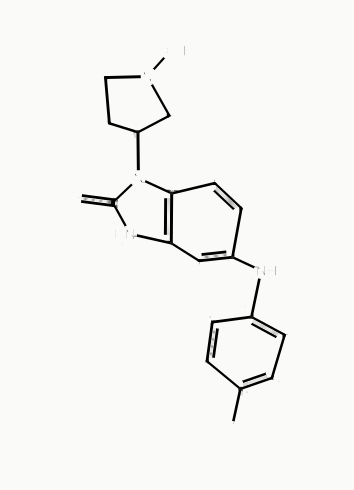 CN1CCC(n2c(=O)[nH]c3cc(Nc4ccc(F)cc4)ccc32)C1